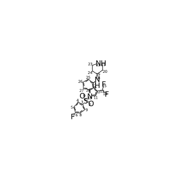 O=S(=O)(c1ccc(F)cc1)n1cc(C(F)F)c2c(NC3CCNCC3)cccc21